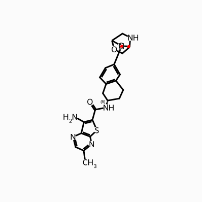 Cc1cnc2c(N)c(C(=O)N[C@@H]3CCc4cc(N5CC6COC(CN6)C5)ccc4C3)sc2n1